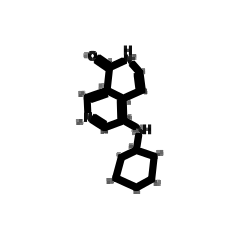 O=c1[nH]ccc2c(NC3CCCCC3)cncc12